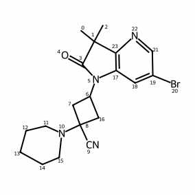 CC1(C)C(=O)N(C2CC(C#N)(N3CCCCC3)C2)c2cc(Br)cnc21